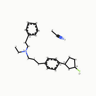 CC#N.CCN(CCCc1ccc(C2CCC(F)C2)cc1)CCc1ccccc1